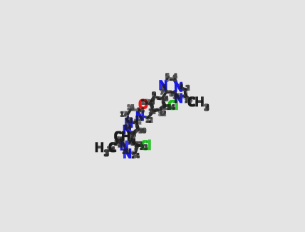 Cc1cn2ccnc(-c3ccc(CN4C(=O)CCn5nc(-c6c(Cl)cnn6C(C)C)cc54)cc3Cl)c2n1